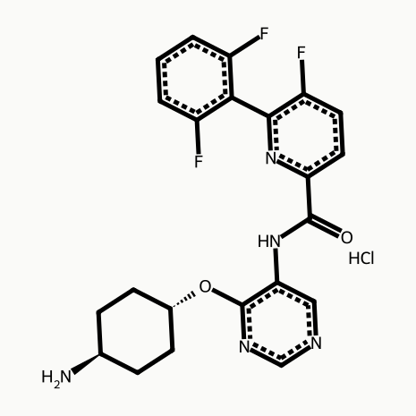 Cl.N[C@H]1CC[C@H](Oc2ncncc2NC(=O)c2ccc(F)c(-c3c(F)cccc3F)n2)CC1